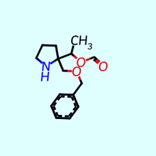 CC(OC=O)C1(COCc2ccccc2)CCCN1